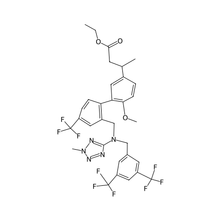 CCOC(=O)CC(C)c1ccc(OC)c(-c2ccc(C(F)(F)F)cc2CN(Cc2cc(C(F)(F)F)cc(C(F)(F)F)c2)c2nnn(C)n2)c1